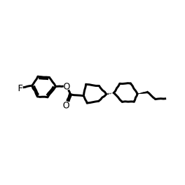 CCC[C@H]1CC[C@H](C2CCC(C(=O)Oc3ccc(F)cc3)CC2)CC1